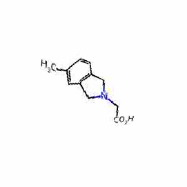 Cc1ccc2c(c1)CN(CC(=O)O)C2